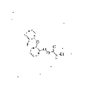 CCNC(=O)OOc1ccccc1Oc1ccccc1F